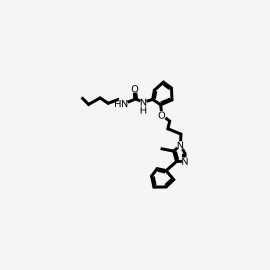 CCCCCNC(=O)Nc1ccccc1OCCCn1cnc(-c2ccccc2)c1C